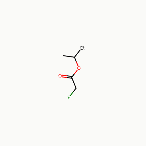 CCC(C)OC(=O)CF